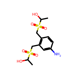 CC(O)S(=O)(=O)Cc1ccc(N)cc1CS(=O)(=O)C(C)O